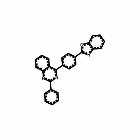 c1ccc(-c2nc(-c3ccc(-c4nc5ccccc5o4)cc3)c3ccccc3n2)cc1